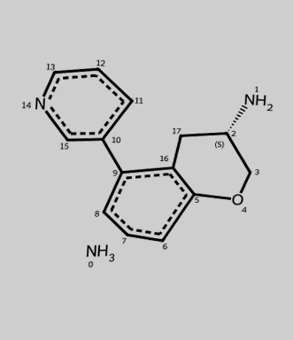 N.N[C@@H]1COc2cccc(-c3cccnc3)c2C1